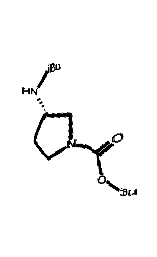 CCC(C)N[C@H]1CCN(C(=O)OC(C)(C)C)C1